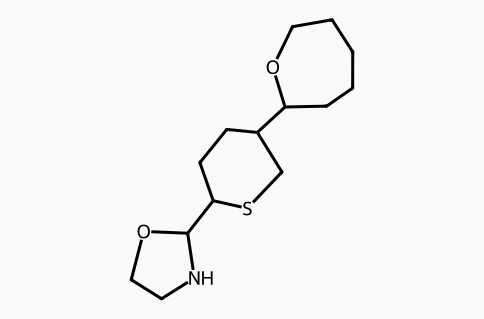 C1CCOC(C2CCC(C3NCCO3)SC2)CC1